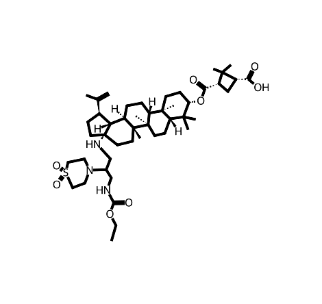 C=C(C)[C@@H]1CC[C@]2(NCC(CNC(=O)OCC)N3CCS(=O)(=O)CC3)CC[C@]3(C)[C@H](CC[C@@H]4[C@@]5(C)CC[C@H](OC(=O)[C@H]6C[C@@H](C(=O)O)C6(C)C)C(C)(C)[C@@H]5CC[C@]43C)[C@@H]12